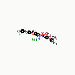 COC(=O)[C@H](Cc1ccc(Oc2ccnc(C)c2C)cc1)NC(=O)[C@@H]1Cc2cc3c(cc2CN1)O[C@@H](c1ccc(OCc2ccc(Cl)c(Cl)c2)cc1)CO3.Cl.Cl